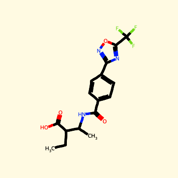 CCC(C(=O)O)C(C)NC(=O)c1ccc(-c2noc(C(F)(F)F)n2)cc1